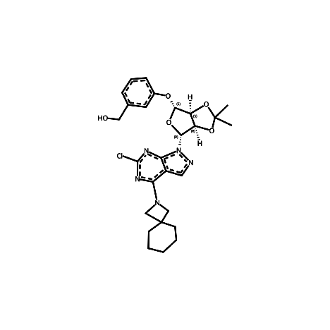 CC1(C)O[C@@H]2[C@@H](Oc3cccc(CO)c3)O[C@@H](n3ncc4c(N5CC6(CCCCC6)C5)nc(Cl)nc43)[C@@H]2O1